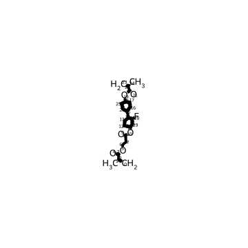 C=C(C)C(=O)OCCC(=O)Oc1ccc(-c2ccc(OC(=O)C(=C)C)cc2)c(F)c1